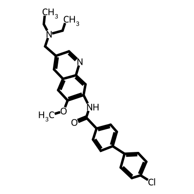 CCN(CC)Cc1cnc2cc(NC(=O)c3ccc(-c4ccc(Cl)cc4)cc3)c(OC)cc2c1